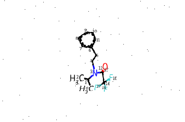 CC(C)N(CCc1ccccc1)C(=O)C(F)(F)F